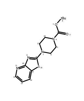 CC(C)(C)OC(=O)N1CCN(c2nc3ncccc3s2)CC1